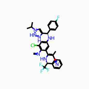 C=Nc1c(Cl)cc(N[C@H](C2=CN(C(C)C)NN2)c2ccc(F)cc2)cc1/C(N[C@@H](c1ccccc1)C(F)(F)F)=C(\C)C#N